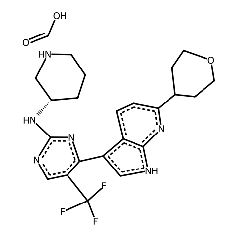 FC(F)(F)c1cnc(N[C@H]2CCCNC2)nc1-c1c[nH]c2nc(C3CCOCC3)ccc12.O=CO